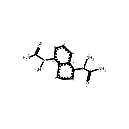 NC(=O)N(N)c1cccc2c(N(N)C(N)=O)cccc12